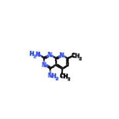 Cc1cc(C)c2c(N)nc(N)nc2n1